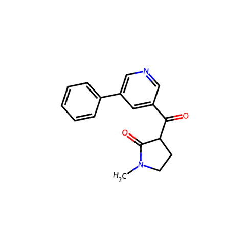 CN1CCC(C(=O)c2cncc(-c3ccccc3)c2)C1=O